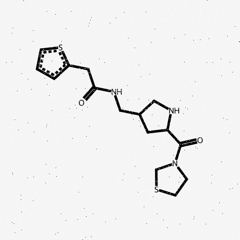 O=C(Cc1cccs1)NCC1CNC(C(=O)N2CCSC2)C1